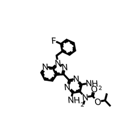 CC(C)OC(=O)N(C)c1c(N)nc(-c2nn(Cc3ccccc3F)c3ncccc23)nc1N